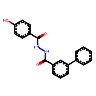 O=C(NNC(=O)c1cccc(-c2ccccc2)c1)c1ccc(O)cc1